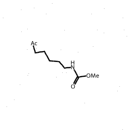 COC(=O)NCCCCCC(C)=O